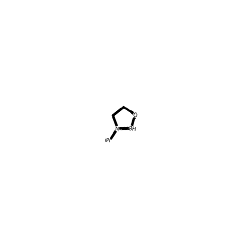 CC(C)N1BOCC1